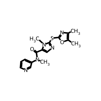 Cc1nc(Sc2ncc(C(=O)N(C)c3cccnc3)n2C)oc1C